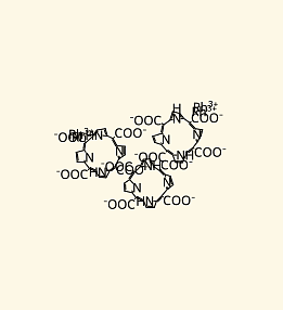 O=C([O-])c1c2nc(c(C(=O)[O-])c3ccc([nH]3)c(C(=O)[O-])c3nc(c(C(=O)[O-])c4ccc1[nH]4)C=C3)C=C2.O=C([O-])c1c2nc(c(C(=O)[O-])c3ccc([nH]3)c(C(=O)[O-])c3nc(c(C(=O)[O-])c4ccc1[nH]4)C=C3)C=C2.O=C([O-])c1c2nc(c(C(=O)[O-])c3ccc([nH]3)c(C(=O)[O-])c3nc(c(C(=O)[O-])c4ccc1[nH]4)C=C3)C=C2.[Rh+3].[Rh+3].[Rh+3].[Rh+3]